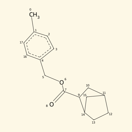 Cc1ccc(COC(=O)C2CC3CCC2C3)cc1